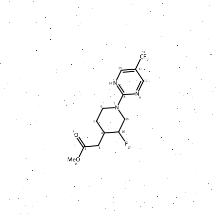 COC(=O)CC1CCN(c2ncc(C(F)(F)F)cn2)CC1F